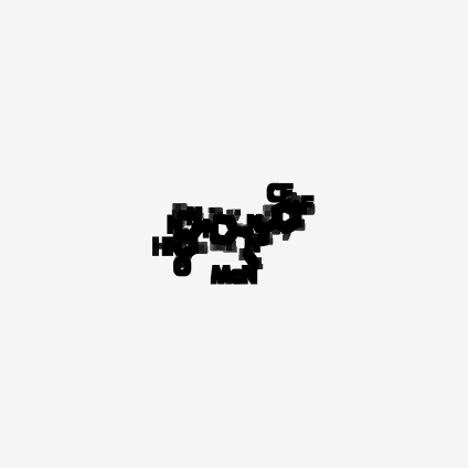 CNCCn1cc(-c2ccc(F)c(C(F)(F)F)c2)nc1C1CCN(c2ncnc3c2CC(=O)N3)CC1